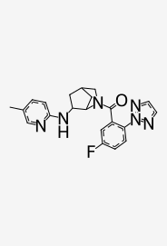 Cc1ccc(NC2CC3CC2N(C(=O)c2cc(F)ccc2-n2nccn2)C3)nc1